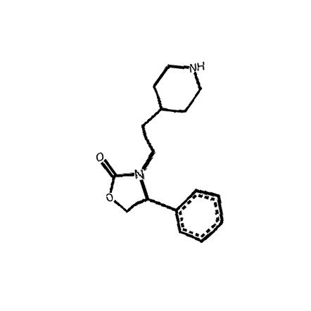 O=C1OCC(c2ccccc2)N1CCC1CCNCC1